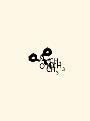 CC[C@@H](C(=O)N(C)OC)N(Cc1ccccc1)Cc1ccccc1